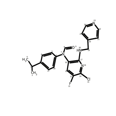 CC(C)c1ccc(N(C=O)c2cc(F)c(Cl)nc2NCc2ccncc2)cc1